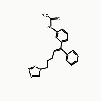 CC(=O)Nc1cccc(C(=CCCCn2cnnn2)c2cccnc2)c1